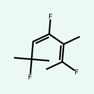 C/C(F)=C(C)\C(F)=C/C(C)(C)F